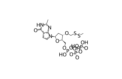 CSSCO[C@H]1C[C@H](n2ccc3c(=O)[nH]c(C)nc32)O[C@@H]1COP(=O)(O)OP(=O)(O)OP(=O)(O)O